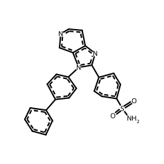 NS(=O)(=O)c1ccc(-c2nc3ccncc3n2-c2ccc(-c3ccccc3)cc2)cc1